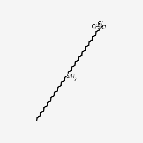 CCCCCCCCCCCCCCCCCC[SiH2]CCCCCCCCCCCCCCCCCC[Si](Cl)(Cl)Cl